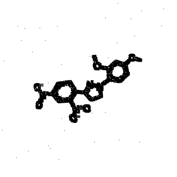 COc1ccc(N2CCC(c3ccc([N+](=O)[O-])cc3[N+](=O)[O-])=N2)c(OC)c1